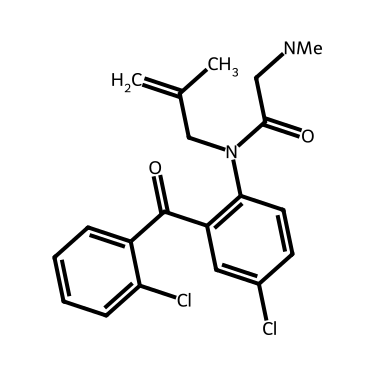 C=C(C)CN(C(=O)CNC)c1ccc(Cl)cc1C(=O)c1ccccc1Cl